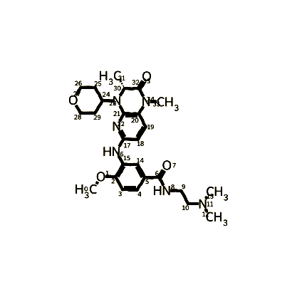 COc1ccc(C(=O)NCCN(C)C)cc1Nc1ccc2c(n1)N(C1CCOCC1)[C@H](C)C(=O)N2C